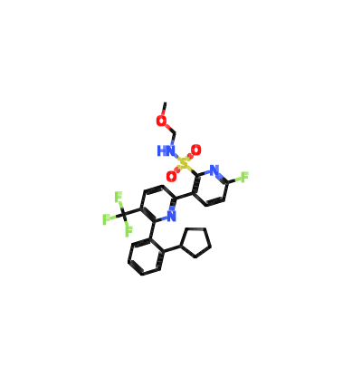 COCNS(=O)(=O)c1nc(F)ccc1-c1ccc(C(F)(F)F)c(-c2ccccc2C2CCCC2)n1